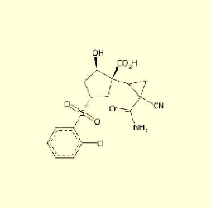 N#CC1(C(N)=O)CC1[C@]1(C(=O)O)C[C@H](S(=O)(=O)c2ccccc2Cl)C[C@H]1O